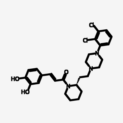 O=C(/C=C/c1ccc(O)c(O)c1)N1CCCC[C@H]1CCN1CCN(c2cccc(Cl)c2Cl)CC1